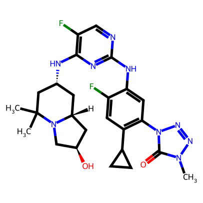 Cn1nnn(-c2cc(Nc3ncc(F)c(N[C@@H]4C[C@@H]5C[C@@H](O)CN5C(C)(C)C4)n3)c(F)cc2C2CC2)c1=O